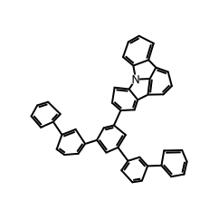 c1ccc(-c2cccc(-c3cc(-c4cccc(-c5ccccc5)c4)cc(-c4ccc5c(c4)c4cccc6c7ccccc7n5c64)c3)c2)cc1